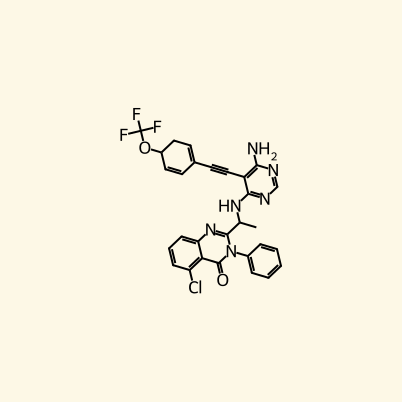 CC(Nc1ncnc(N)c1C#CC1=CCC(OC(F)(F)F)C=C1)c1nc2cccc(Cl)c2c(=O)n1-c1ccccc1